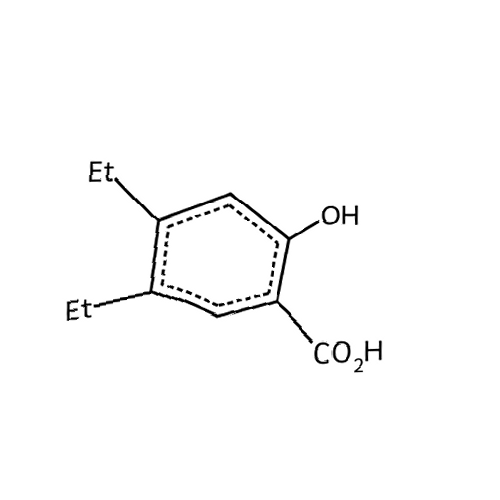 CCc1cc(O)c(C(=O)O)cc1CC